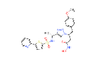 COc1ccc(C[C@@H](CC(=O)NO)n2cc([C@@H](C)NS(=O)(=O)c3ccc(-c4ccccn4)s3)nn2)cc1